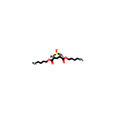 CCCCCOC(=O)CCCC(=O)OCCCCC.C[S+](C)[O-]